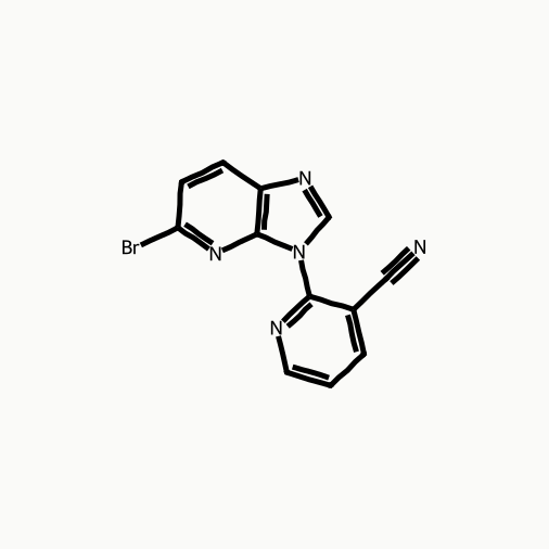 N#Cc1cccnc1-n1cnc2ccc(Br)nc21